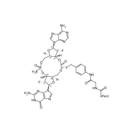 BP1(=O)OC[C@H]2O[C@@H](n3cnc4c(N)ncnc43)[C@H](F)[C@@H]2O[P@](=O)(SCc2ccc(NC(=O)CNC(=O)CCCCC)cc2)OC[C@H]2O[C@@H](n3cnc4c(=O)[nH]c(N)nc43)[C@H](F)[C@@H]2O1